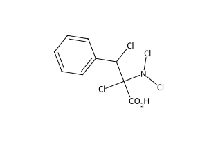 O=C(O)C(Cl)(C(Cl)c1ccccc1)N(Cl)Cl